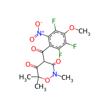 COc1c(F)c(F)c(C(=O)C2C(=O)N(C)OC(C)(C)C2=O)c([N+](=O)[O-])c1F